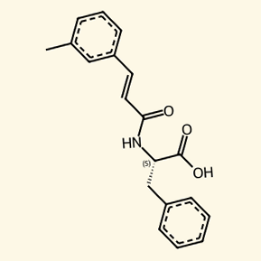 Cc1cccc(C=CC(=O)N[C@@H](Cc2ccccc2)C(=O)O)c1